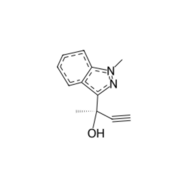 C#C[C@@](C)(O)c1nn(C)c2ccccc12